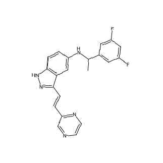 CC(Nc1ccc2[nH]nc(/C=C/c3cnccn3)c2c1)c1cc(F)cc(F)c1